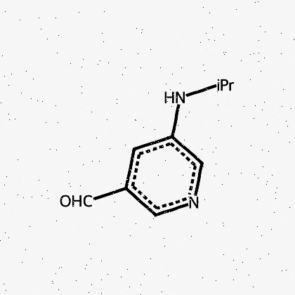 CC(C)Nc1cncc(C=O)c1